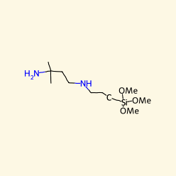 CO[Si](CCCNCCC(C)(C)N)(OC)OC